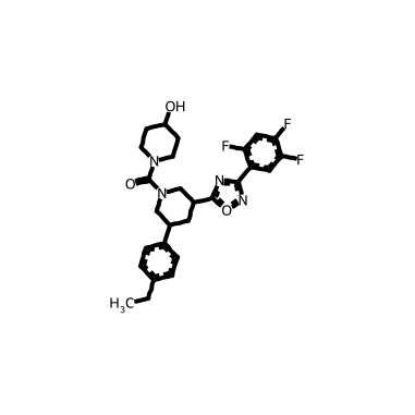 CCc1ccc(C2CC(c3nc(-c4cc(F)c(F)cc4F)no3)CN(C(=O)N3CCC(O)CC3)C2)cc1